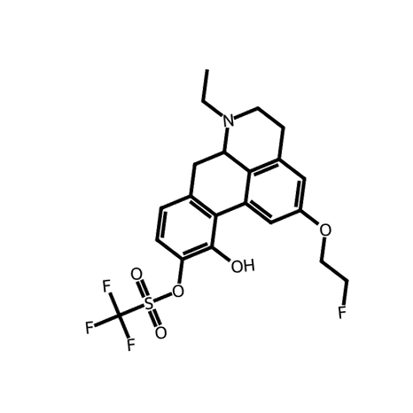 CCN1CCc2cc(OCCF)cc3c2C1Cc1ccc(OS(=O)(=O)C(F)(F)F)c(O)c1-3